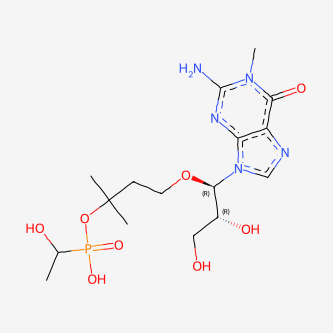 CC(O)P(=O)(O)OC(C)(C)CCO[C@H]([C@H](O)CO)n1cnc2c(=O)n(C)c(N)nc21